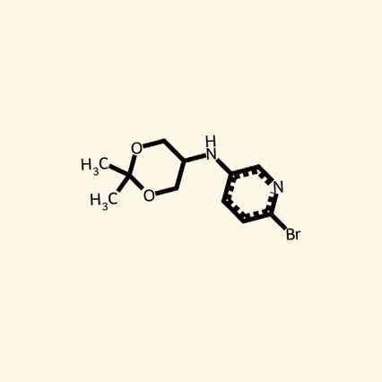 CC1(C)OCC(Nc2ccc(Br)nc2)CO1